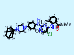 CNC(=O)c1cccc(C)c1Nc1nc(Nc2ccc(N3CCN(C4C5CC6CC(C5)CC4C6)CC3)cc2OC)ncc1Cl